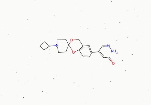 N/N=C\C(=C/C=O)c1ccc2c(c1)COC1(CCN(C3CCC3)CC1)O2